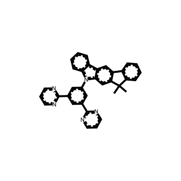 CC1(C)c2ccccc2-c2cc3c4ccccc4n(-c4cc(-c5ncccn5)cc(-c5ncccn5)c4)c3cc21